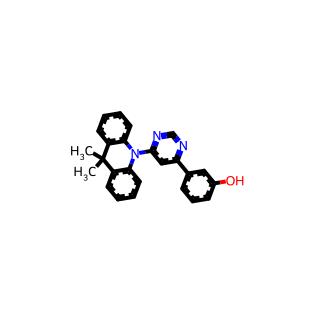 CC1(C)c2ccccc2N(c2cc(-c3cccc(O)c3)ncn2)c2ccccc21